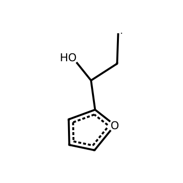 [CH2]CC(O)c1ccco1